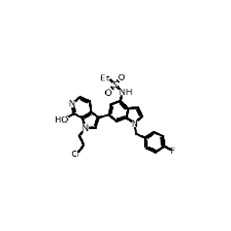 CCS(=O)(=O)Nc1cc(-c2cn(CCCl)c3c(O)nccc23)cc2c1ccn2Cc1ccc(F)cc1